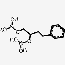 ON(O)OCC(CCc1ccccc1)ON(O)O